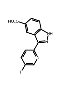 O=C(O)c1ccc2[nH]nc(-c3ccc(F)cn3)c2c1